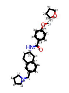 O=C(N[C@H]1CCc2cc(CN3CCCC3)ccc2C1)c1ccc(OC[C@@H]2CCCO2)cc1